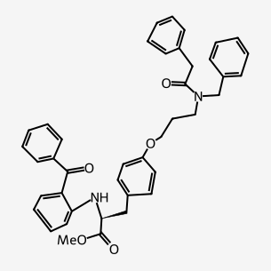 COC(=O)[C@H](Cc1ccc(OCCCN(Cc2ccccc2)C(=O)Cc2ccccc2)cc1)Nc1ccccc1C(=O)c1ccccc1